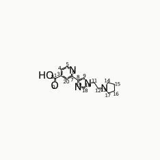 O=C(O)c1ccnc(-c2cn(CCN3CCCC3)cn2)c1